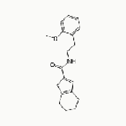 COc1ccccc1CCNC(=O)C1=CC2=C(CCCC2)C1